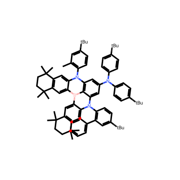 Cc1cc(C(C)(C)C)ccc1N1c2cc3c(cc2B2c4cc5c(cc4N(c4ccc(C(C)(C)C)cc4-c4ccccc4)c4cc(N(c6ccc(C(C)(C)C)cc6)c6ccc(C(C)(C)C)cc6)cc1c42)C(C)(C)CCC5(C)C)C(C)(C)CCC3(C)C